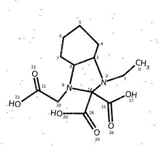 CCN1C2CCCCC2N(CC(=O)O)C1(C(=O)O)C(=O)O